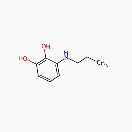 CCCNc1cccc(O)c1O